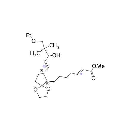 CCOCC(C)(C)C(O)/C=C/[C@H]1CCC2(OCCO2)[C@@H]1CCCC/C=C/C(=O)OC